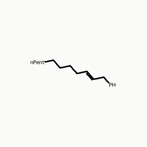 CCCCCCCCC/C=C/C[PH]